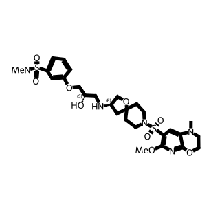 CNS(=O)(=O)c1cccc(OC[C@@H](O)CN[C@H]2COC3(CCN(S(=O)(=O)c4cc5c(nc4OC)OCCN5C)CC3)C2)c1